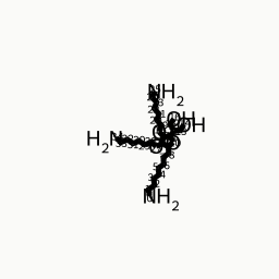 NCCCCCCCCC1OC(C(CO)CO)C(OCCCCCCN)C1OCCCCCCN